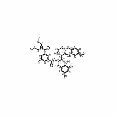 CCCN(CCC)C(=O)c1cc(C)cc(C(=O)N[C@@H](Cc2cc(F)cc(F)c2)[C@H](O)C2NCCN(Cc3ccc(OC)cc3)C2=O)c1